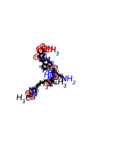 CC[C@@]1(O)C(=O)OCc2c1cc1n(c2=O)Cc2c-1nc1ccc(NC(=O)[C@H](CCCCN)NC(=O)[C@@H](NC(=O)CCCC#Cc3cnc(S(C)(=O)=O)nc3)C(C)C)c3c1c2CCC3